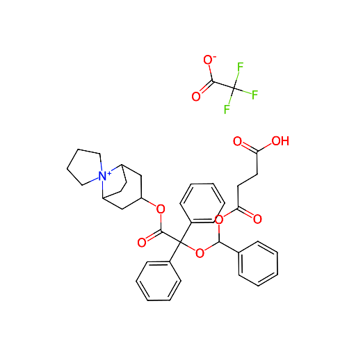 O=C(O)CCC(=O)OC(OC(C(=O)OC1CC2CCC(C1)[N+]21CCCC1)(c1ccccc1)c1ccccc1)c1ccccc1.O=C([O-])C(F)(F)F